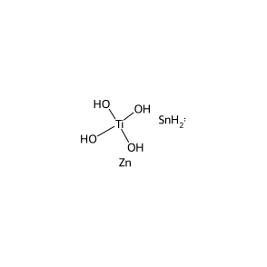 [OH][Ti]([OH])([OH])[OH].[SnH2].[Zn]